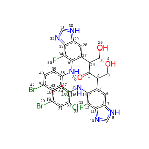 O=C(C(CO)c1cc2[nH]cnc2c(F)c1Nc1ccc(Br)cc1Cl)C(CO)c1cc2[nH]cnc2c(F)c1Nc1ccc(Br)cc1Cl